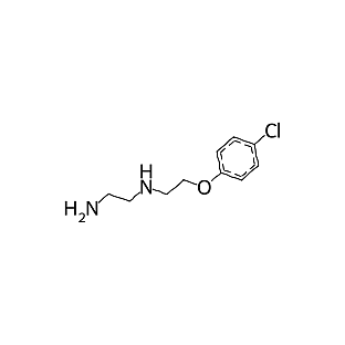 NCCNCCOc1ccc(Cl)cc1